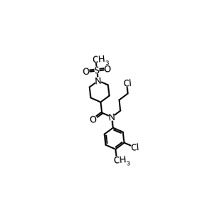 Cc1ccc(N(CCCCl)C(=O)C2CCN(S(C)(=O)=O)CC2)cc1Cl